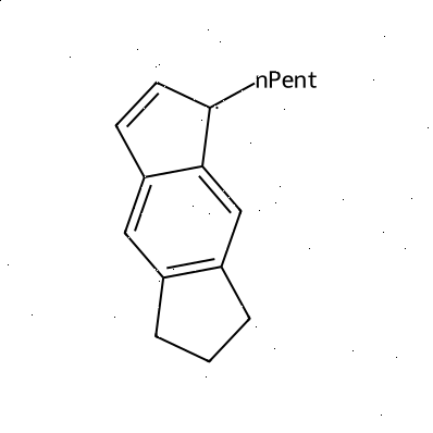 CCCCC[C]1C=Cc2cc3c(cc21)CCC3